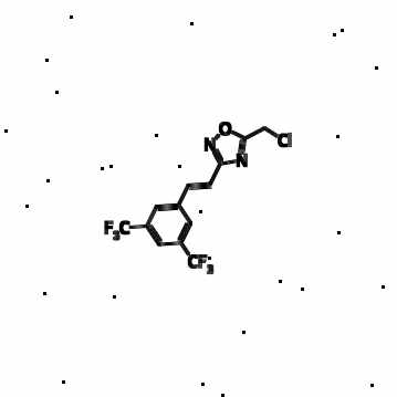 FC(F)(F)c1cc(C=Cc2noc(CCl)n2)cc(C(F)(F)F)c1